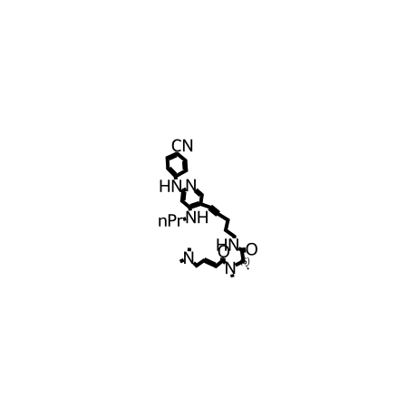 CCCNc1cc(Nc2ccc(C#N)cc2)ncc1C#CCCCNC(=O)[C@H](C)N(C)C(=O)C=CCN(C)C